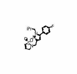 CC(C)Cn1nc(CN2CC=CS2(=O)=O)cc1-c1ccc(F)cc1